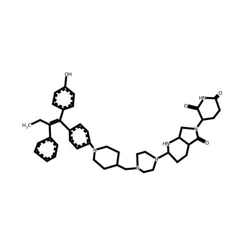 CC/C(=C(\c1ccc(O)cc1)c1ccc(N2CCC(CN3CCN(C4CCC5C(=O)N(C6CCC(=O)NC6=O)CC5N4)CC3)CC2)cc1)c1ccccc1